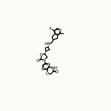 Cc1ncc(F)c2c1CC(CN[C@H]1C[C@H](C3CN(c4cnc5c(n4)NC(=O)CO5)C(=O)O3)C1)C2